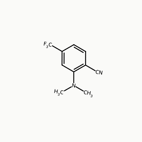 CN(C)c1cc(C(F)(F)F)ccc1C#N